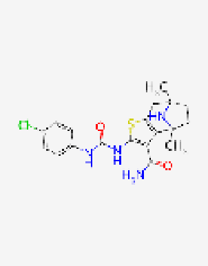 CC12CCC(C)(N1)c1c(sc(NC(=O)Nc3ccc(Cl)cc3)c1C(N)=O)C2